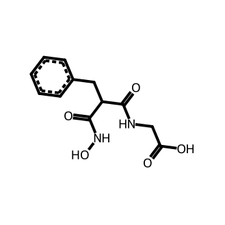 O=C(O)CNC(=O)C(Cc1ccccc1)C(=O)NO